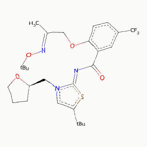 CC(COc1ccc(C(F)(F)F)cc1C(=O)N=c1sc(C(C)(C)C)cn1C[C@H]1CCCO1)=NOC(C)(C)C